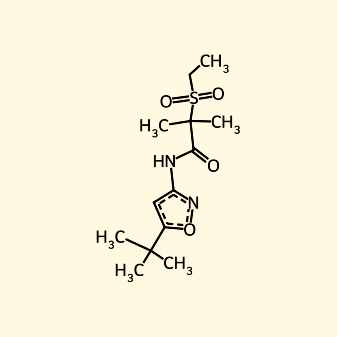 CCS(=O)(=O)C(C)(C)C(=O)Nc1cc(C(C)(C)C)on1